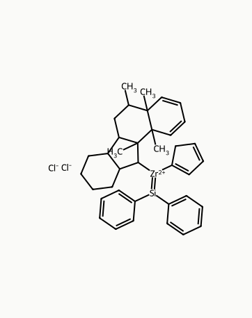 CC1CC2C3CCCCC3[CH]([Zr+2]([C]3=CC=CC3)=[Si](c3ccccc3)c3ccccc3)C2(C)C2(C)C=CC=CC12C.[Cl-].[Cl-]